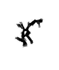 COCCOc1cc(F)c([N+](=O)[O-])cc1N